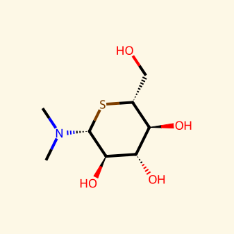 CN(C)[C@@H]1S[C@H](CO)[C@@H](O)[C@H](O)[C@H]1O